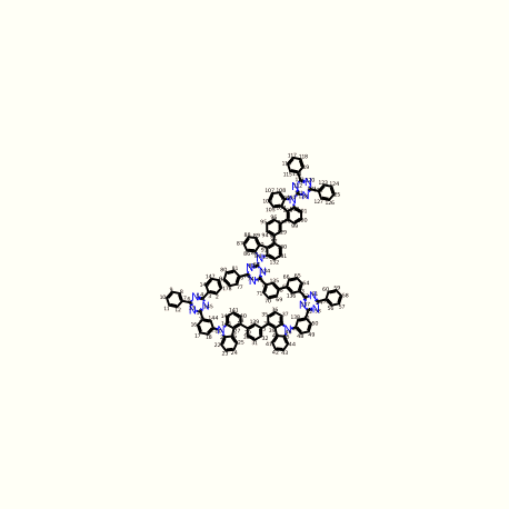 c1ccc(-c2nc(-c3ccccc3)nc(-c3cccc(-n4c5ccccc5c5c(-c6cccc(-c7cccc8c7c7ccccc7n8-c7cccc(-c8nc(-c9ccccc9)nc(-c9cccc(-c%10cccc(-c%11nc(-c%12ccccc%12)nc(-n%12c%13ccccc%13c%13c(-c%14cccc(-c%15cccc%16c%15c%15ccccc%15n%16-c%15nc(-c%16ccccc%16)nc(-c%16ccccc%16)n%15)c%14)cccc%13%12)n%11)c%10)c9)n8)c7)c6)cccc54)c3)n2)cc1